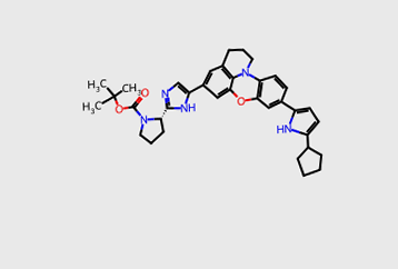 CC(C)(C)OC(=O)N1CCC[C@H]1c1ncc(-c2cc3c4c(c2)Oc2cc(-c5ccc(C6CCCC6)[nH]5)ccc2N4CCC3)[nH]1